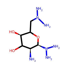 N[C@H]1C(O)[C@@H](O)C(CN(N)N)O[C@H]1N(N)N